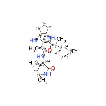 CCc1cccc(/C(C)=C/C(NC2CCCC2)=C(/C=N)C(C)C(=O)NCc2c(C)cc(C)[nH]c2=O)c1